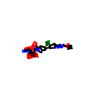 CCOCCNCc1ccc(-c2ccc3c(=O)n(CCC(C)(C(=O)NO)S(C)(=O)=O)ccc3c2)c(F)c1